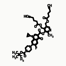 C#CCCCC(=O)OCc1cnc(C)c(OC(=O)c2cn(C3CC3)c3cc(N4CCN(C(=O)OC(C)(C)C)CC4)c(F)cc3c2=O)c1COC(=O)CCCC#C